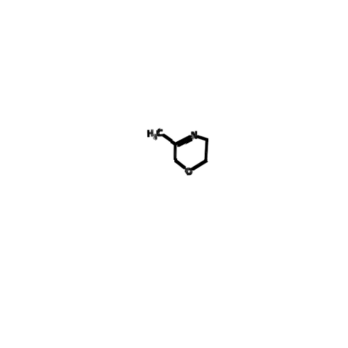 CC1=NCCOC1